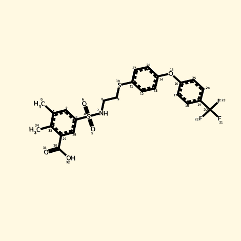 Cc1cc(S(=O)(=O)NCCSc2ccc(Oc3ccc(C(F)(F)F)cc3)cc2)cc(C(=O)O)c1C